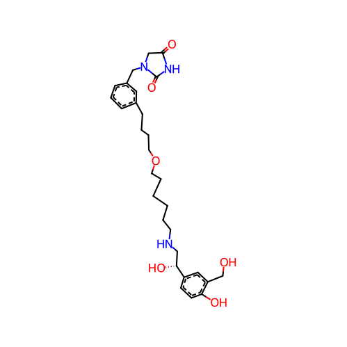 O=C1CN(Cc2cccc(CCCCOCCCCCCNC[C@@H](O)c3ccc(O)c(CO)c3)c2)C(=O)N1